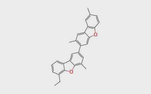 CCc1cccc2c1oc1c(C)cc(-c3cc4oc5ccc(C)cc5c4cc3C)cc12